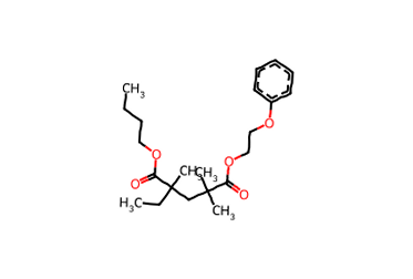 CCCCOC(=O)C(C)(CC)CC(C)(C)C(=O)OCCOc1ccccc1